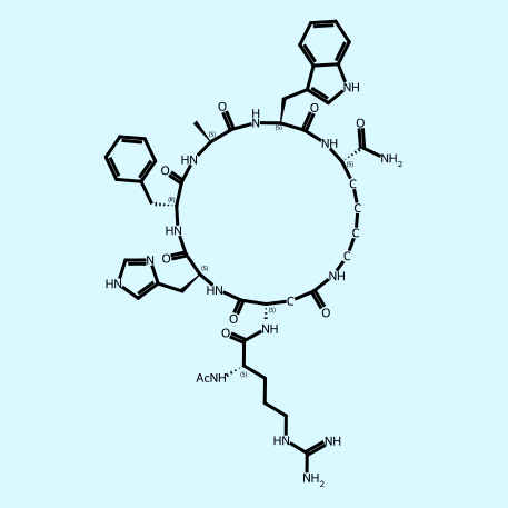 CC(=O)N[C@@H](CCCNC(=N)N)C(=O)N[C@H]1CC(=O)NCCCC[C@@H](C(N)=O)NC(=O)[C@H](Cc2c[nH]c3ccccc23)NC(=O)[C@H](C)NC(=O)[C@@H](Cc2ccccc2)NC(=O)[C@H](Cc2c[nH]cn2)NC1=O